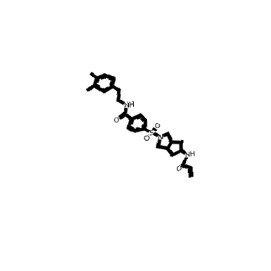 C=CC(=O)NC1CC2CN(S(=O)(=O)c3ccc(C(=O)NCCc4ccc(C)c(C)c4)cc3)CC2C1